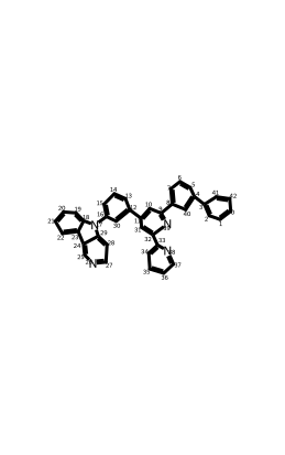 c1ccc(-c2cccc(-c3cc(-c4cccc(-n5c6ccccc6c6cnccc65)c4)cc(-c4ccccn4)n3)c2)cc1